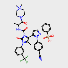 Cc1c(-c2ccnn2-c2ccc(C#N)cc2)n(C(=O)NC(C)C(=O)N2CC[N+](C)(C)CC2)c(=O)n1-c1cccc(C(F)(F)F)c1.O=S(=O)([O-])c1ccccc1